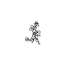 CSCON=C(C(=O)NC1C(=O)N2CC(CSc3nncs3)(C(=O)O)CS[C@H]12)c1csc(NC=O)n1